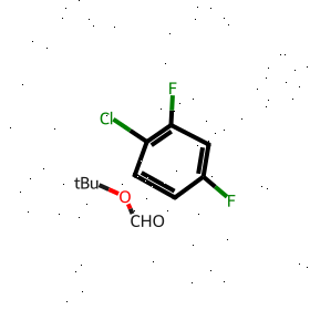 CC(C)(C)OC=O.Fc1ccc(Cl)c(F)c1